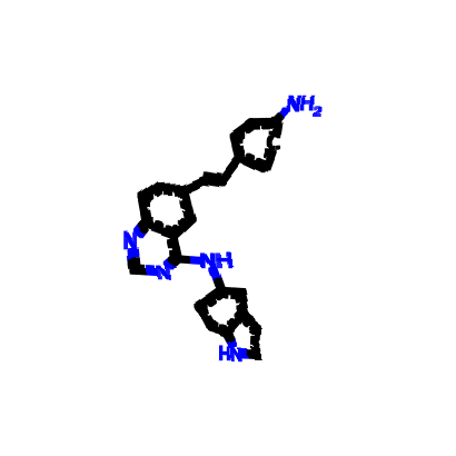 Nc1ccc(C=Cc2ccc3ncnc(Nc4ccc5[nH]ccc5c4)c3c2)cc1